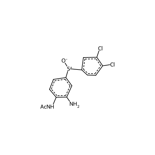 CC(=O)Nc1ccc([S+]([O-])c2ccc(Cl)c(Cl)c2)cc1N